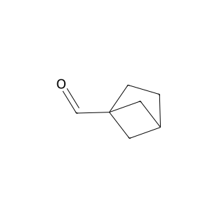 O=CC12CCC(C1)C2